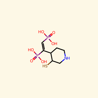 O=P(O)(O)C=C(C1CCNCC1S)P(=O)(O)O